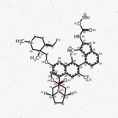 CN1CC/C(=C\F)[C@](C)(COc2nc(N3C[C@H]4CC[C@@H](C3)N4C(=O)OC(C)(C)C)c3cc(C(F)(F)F)c(-c4cccc5sc(NC(=O)OC(C)(C)C)c(C#N)c45)c(F)c3n2)C1